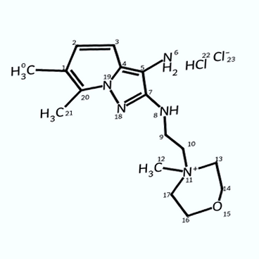 Cc1ccc2c(N)c(NCC[N+]3(C)CCOCC3)nn2c1C.Cl.[Cl-]